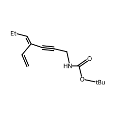 C=C/C(C#CCNC(=O)OC(C)(C)C)=C\CC